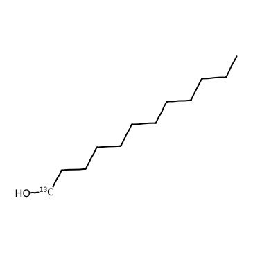 CCCCCCCCCCC[13CH2]O